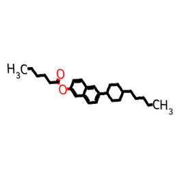 CCCCCC(=O)Oc1ccc2cc(C3CCC(CCCCC)CC3)ccc2c1